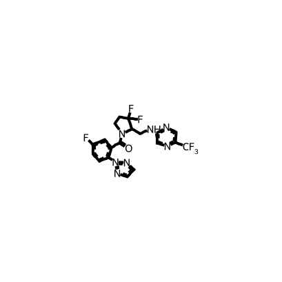 O=C(c1cc(F)ccc1-n1nccn1)N1CCC(F)(F)C1CNc1cnc(C(F)(F)F)cn1